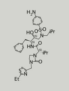 CCc1nc(CN2CCN([C@H](C(=O)N[C@@H](Cc3ccccc3)[C@@H](O)CN(CC(C)C)S(=O)(=O)c3ccc(N)cc3)C(C)C)C2=O)cs1